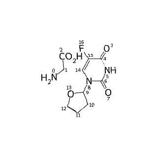 NCC(=O)O.O=c1[nH]c(=O)n(C2CCCO2)cc1F